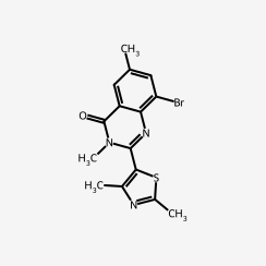 Cc1cc(Br)c2nc(-c3sc(C)nc3C)n(C)c(=O)c2c1